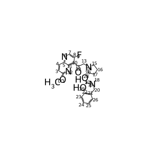 COc1ccc2ncc(F)c([C@@H](O)CN3CC[C@H](CN(Cc4ccccc4)C(=O)O)C3)c2n1